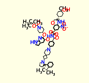 CC(C)c1ccccc1[C@H]1CCCN1C1CC2(CCN(c3ccc(C(=O)NS(=O)(=O)c4cc5c(c([N+](=O)[O-])c4)N[C@@H](C4CCC(C)(O)CC4)CO5)c(Oc4cc5cc[nH]c5nc4OC4CCN(C(=O)OC(C)(C)C)CC4)c3)CC2)C1